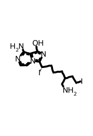 NCC(CCI)CCC[C@H](I)c1nc(O)c2c(N)nccn12